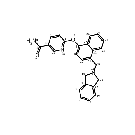 NC(=O)c1ccc(Oc2ccc(CN3Cc4ccccc4C3)c3ccccc23)nc1